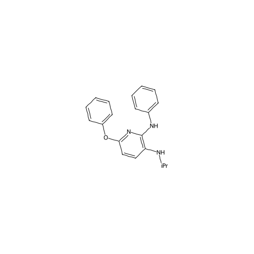 CC(C)Nc1ccc(Oc2ccccc2)nc1Nc1ccccc1